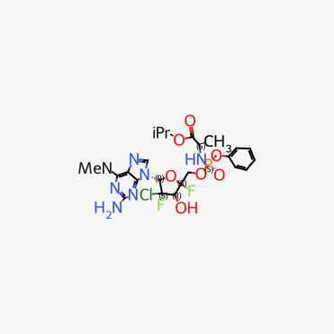 CNc1nc(N)nc2c1ncn2[C@@H]1O[C@](F)(CO[P@@](=O)(N[C@@H](C)C(=O)OC(C)C)Oc2ccccc2)[C@@H](O)[C@]1(F)Cl